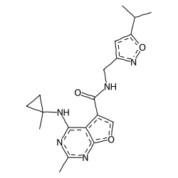 Cc1nc(NC2(C)CC2)c2c(C(=O)NCc3cc(C(C)C)on3)coc2n1